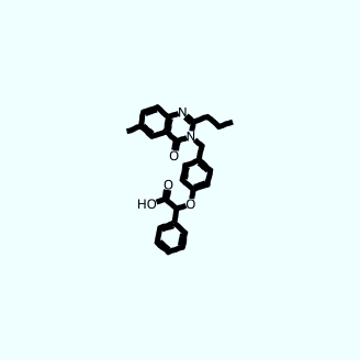 CCCc1nc2ccc(C)cc2c(=O)n1Cc1ccc(OC(C(=O)O)c2ccccc2)cc1